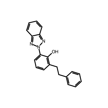 Oc1c(CCc2ccccc2)cccc1-n1nc2ccccc2n1